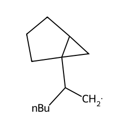 [CH2]C(CCCC)C12CCCC1C2